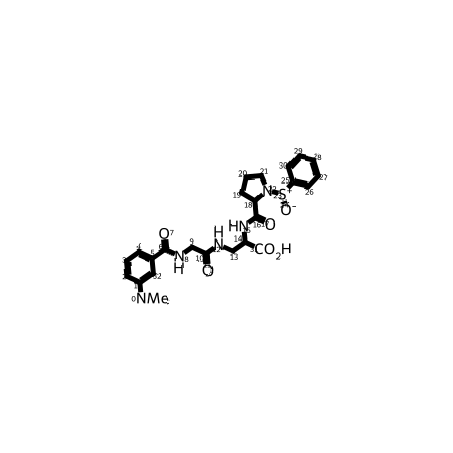 CNc1cccc(C(=O)NCC(=O)NCC(NC(=O)C2CCCN2[S+]([O-])c2ccccc2)C(=O)O)c1